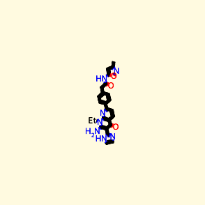 CCn1c(N)c(-c2ncc[nH]2)c(=O)c2ccc(-c3ccc(CC(=O)Nc4cc(C)no4)cc3)nc21